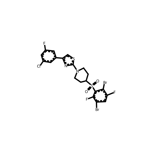 O=S(=O)(c1c(F)c(Br)cc(F)c1Br)C1CCN(c2nc(-c3cc(F)cc(Cl)c3)cs2)CC1